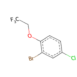 FC(F)(F)COc1ccc(Cl)cc1Br